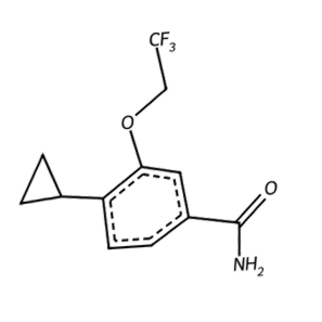 NC(=O)c1ccc(C2CC2)c(OCC(F)(F)F)c1